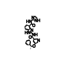 C[C@@H](Oc1cncc(C(=O)Nc2nc3c(C(=O)Nc4ncc[nH]4)cccc3[nH]2)c1)c1ccccc1